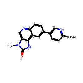 COc1ccc(-c2ccc3ncc4c([nH]c(=O)n4C)c3c2)cn1